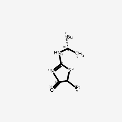 CC(C)C1SC(N[C@@H](C)C(C)(C)C)=NC1=O